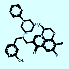 Cc1cc(CN(Cc2cn3c4c(c(F)c(F)cc4c2=O)OCC3C)[C@H]2CCCN(c3cnccn3)C2)ccn1